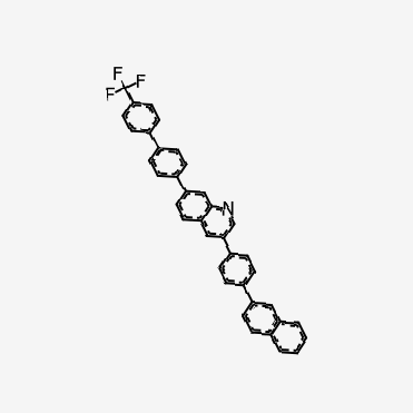 FC(F)(F)c1ccc(-c2ccc(-c3ccc4cc(-c5ccc(-c6ccc7ccccc7c6)cc5)cnc4c3)cc2)cc1